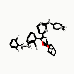 O=S1(=O)CCC(Nc2nccc(-c3sc(N4C5CCC4CC(F)(F)C5)nc3-c3cccc(NS(=O)(=O)c4c(F)cccc4F)c3F)n2)CC1